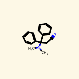 CN(C)C(CC#N)(c1ccccc1)c1ccccc1